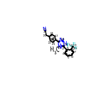 Cn1c(-c2ccccc2C(F)(F)F)nnc1C12CCC(CC#N)(CC1)CC2